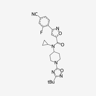 CC(C)(C)c1noc(N2CCC(N(C(=O)c3cc(-c4ccc(C#N)cc4F)no3)C3CC3)CC2)n1